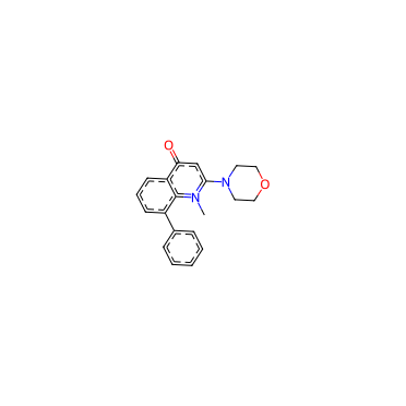 Cn1c(N2CCOCC2)cc(=O)c2cccc(-c3ccccc3)c21